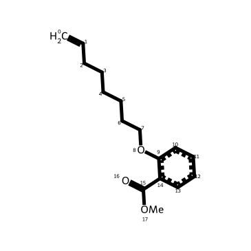 C=CCCCCCCOc1ccccc1C(=O)OC